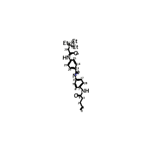 C=CCCC(=O)Nc1ccc(/N=N/c2ccc(NC(=O)C[N+](CC)(CC)CC)cc2)cc1